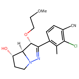 COCCO[C@@H]1C(c2ccc(C#N)c(Cl)c2C)=NN2CC[C@H](O)[C@@H]12